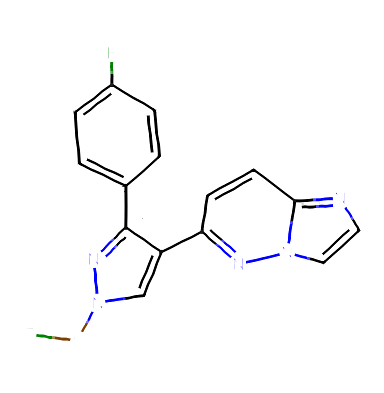 FSn1cc(-c2ccc3nccn3n2)c(-c2ccc(F)cc2)n1